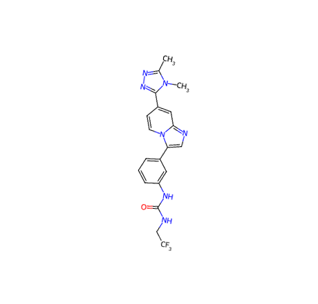 Cc1nnc(-c2ccn3c(-c4cccc(NC(=O)NCC(F)(F)F)c4)cnc3c2)n1C